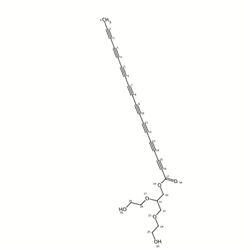 CC#CC#CC#CC#CC#CC#CC#CC#CC(=O)OCC(COCCO)OCCO